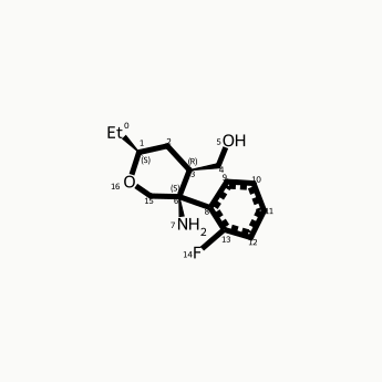 CC[C@H]1C[C@@H](CO)[C@](N)(c2ccccc2F)CO1